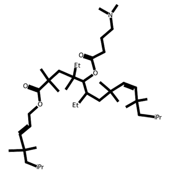 CCC(CC(C)(C)/C=C\C(C)(C)CC(C)C)C(OC(=O)CCCN(C)C)C(C)(CC)CC(C)(C)C(=O)OC/C=C/C(C)(C)CC(C)C